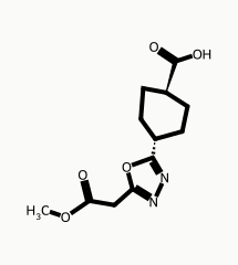 COC(=O)Cc1nnc([C@H]2CC[C@H](C(=O)O)CC2)o1